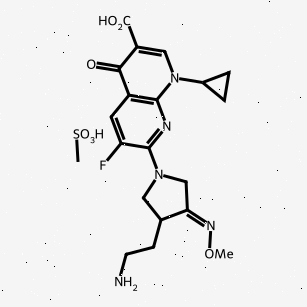 CON=C1CN(c2nc3c(cc2F)c(=O)c(C(=O)O)cn3C2CC2)CC1CCN.CS(=O)(=O)O